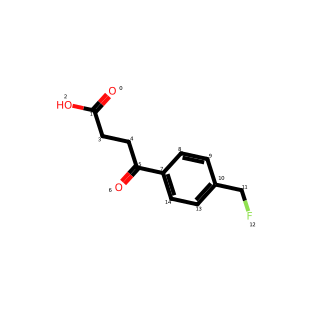 O=C(O)CCC(=O)c1ccc(CF)cc1